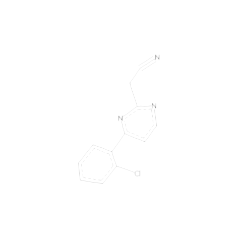 N#CCc1nccc(-c2ccccc2Cl)n1